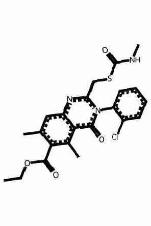 CCOC(=O)c1c(C)cc2nc(CSC(=O)NC)n(-c3ccccc3Cl)c(=O)c2c1C